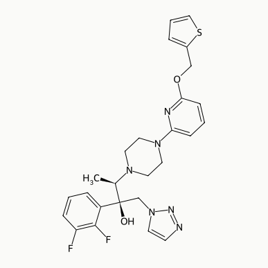 C[C@@H](N1CCN(c2cccc(OCc3cccs3)n2)CC1)[C@](O)(Cn1ccnn1)c1cccc(F)c1F